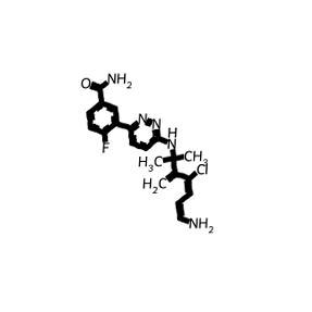 C=C(/C(Cl)=C\C=C/N)C(C)(C)Nc1ccc(-c2cc(C(N)=O)ccc2F)nn1